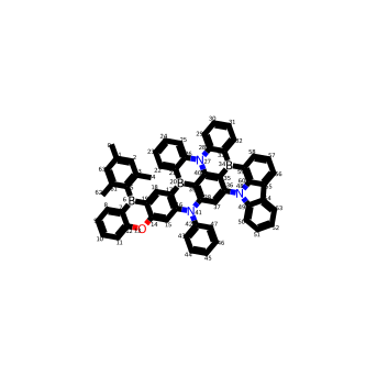 Cc1cc(C)c(B2c3ccccc3Oc3cc4c(cc32)B2c3ccccc3N3c5ccccc5B5c6c(cc(c2c63)N4c2ccccc2)-n2c3ccccc3c3cccc5c32)c(C)c1